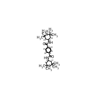 CC1(C)CC(NC(=O)c2ccc(C(=O)NC3CC(C)(C)NC(C)(C)C3)cc2)CC(C)(C)C1